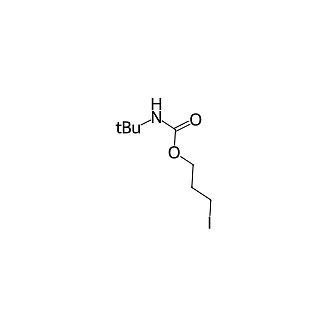 CC(C)(C)NC(=O)OCCCI